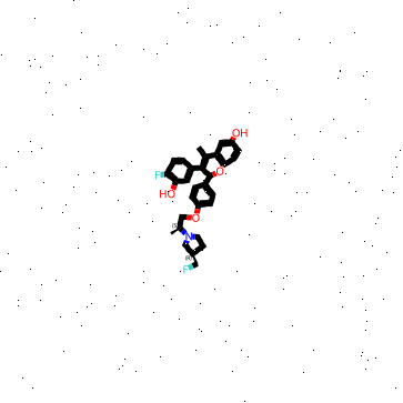 CC1=C(c2ccc(F)c(O)c2)C(c2ccc(OC[C@H](C)N3CC[C@@H](CF)C3)cc2)Oc2ccc(O)cc21